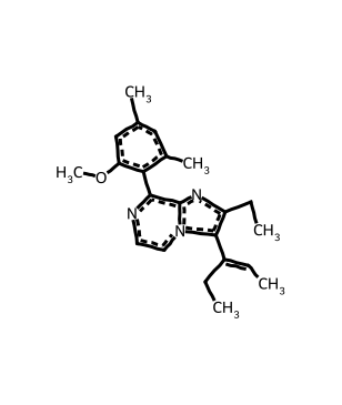 CC=C(CC)c1c(CC)nc2c(-c3c(C)cc(C)cc3OC)nccn12